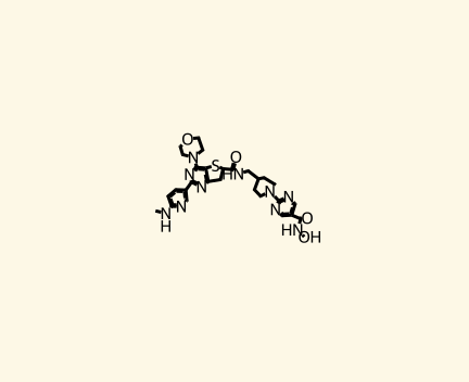 CNc1ccc(-c2nc3c(c(N4CCOCC4)n2)SC(C(=O)NCC2CCN(c4ncc(C(=O)NO)cn4)CC2)C3)cn1